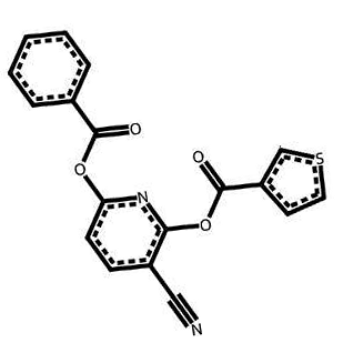 N#Cc1ccc(OC(=O)c2ccccc2)nc1OC(=O)c1[c]scc1